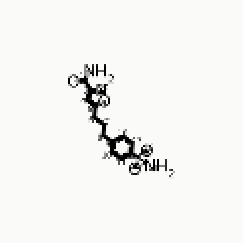 NC(=O)c1cc(CCCc2ccc(S(N)(=O)=O)cc2)on1